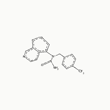 NC(=O)N(Cc1ccc(C(F)(F)F)cc1)c1cccc2cnccc12